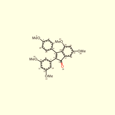 COc1ccc(C2=C(c3cc(OC)cc(OC)c3)C(=O)c3cc(OC)cc(OC)c32)cc1